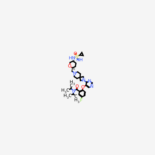 CC(C)N(C(=O)c1cc(F)ccc1Oc1cncnc1N1CC2(CCN(C[C@@H]3CC[C@@H](NS(=N)(=O)C4CC4)CO3)CC2)C1)C(C)C